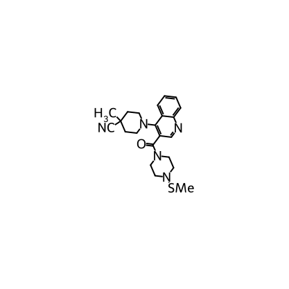 CSN1CCN(C(=O)c2cnc3ccccc3c2N2CCC(C)(C#N)CC2)CC1